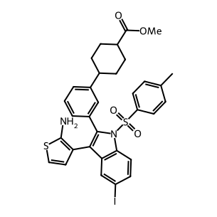 COC(=O)C1CCC(c2cccc(-c3c(-c4ccsc4N)c4cc(I)ccc4n3S(=O)(=O)c3ccc(C)cc3)c2)CC1